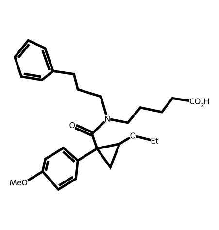 CCOC1CC1(C(=O)N(CCCCC(=O)O)CCCc1ccccc1)c1ccc(OC)cc1